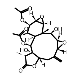 C=C1C[C@@H]2OC(=O)[C@H](C)[C@@]2(O)[C@@H](OC(C)=O)[C@H]2[C@@H](C)[C@@H](OC(C)=O)[C@@H]3O[C@@H]3[C@]2(C)[C@@H](O)[C@@H]2O[C@H]12